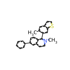 Cc1cc2ccsc2cc1-c1c2ccc(-c3ccccc3)cc2cc[n+]1C